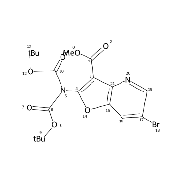 COC(=O)c1c(N(C(=O)OC(C)(C)C)C(=O)OC(C)(C)C)oc2cc(Br)cnc12